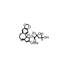 CCC(O)(CC(C)(C)O)C(=O)OC1C(OC)=C[C@]23CCCN2CCc2cc4c(cc2[C@H]13)OCO4